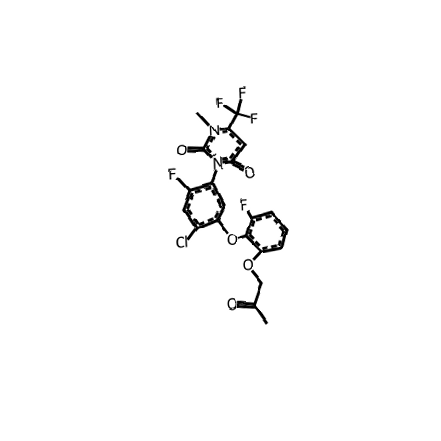 CC(=O)COc1cccc(F)c1Oc1cc(-n2c(=O)cc(C(F)(F)F)n(C)c2=O)c(F)cc1Cl